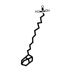 O=P(O)(O)CCCCCCCCCCCCC1C2CC3CC(C2)CC1C3